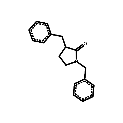 O=C1C(Cc2ccccc2)CCN1Cc1ccccc1